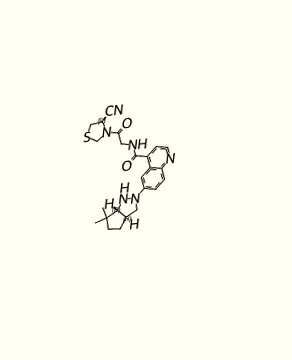 CC1(C)CC[C@@H]2CN(c3ccc4nccc(C(=O)NCC(=O)N5CSC[C@H]5C#N)c4c3)N[C@H]21